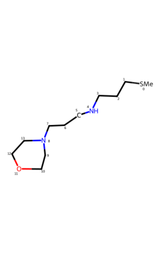 CSCCCNCCCN1CCOCC1